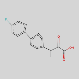 CC(C(=O)C(=O)O)c1ccc(-c2ccc(F)cc2)cc1